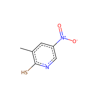 Cc1cc([N+](=O)[O-])cnc1S